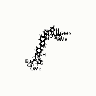 CC[C@H](C)[C@H](NC(=O)OC)C(=O)N1CCC[C@H]1c1nc2ccc(-c3ccc4cc(-c5cnc([C@@H]6CCCN6C(=O)[C@H](COC)NC(=O)OC)[nH]5)ccc4c3)cc2[nH]1